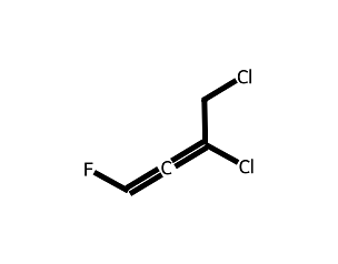 FC=C=C(Cl)CCl